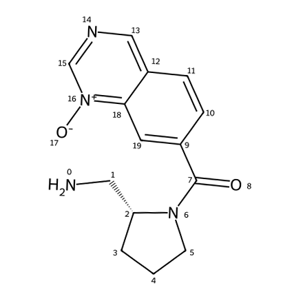 NC[C@H]1CCCN1C(=O)c1ccc2cnc[n+]([O-])c2c1